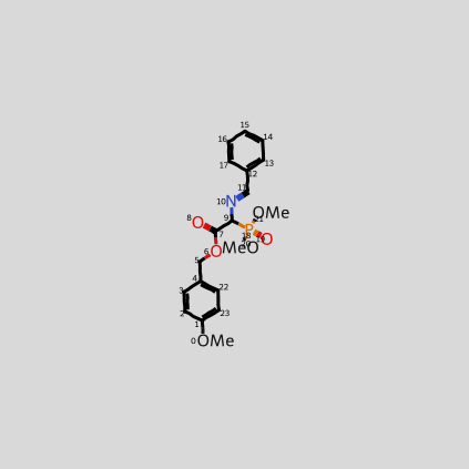 COc1ccc(COC(=O)C(N=Cc2ccccc2)P(=O)(OC)OC)cc1